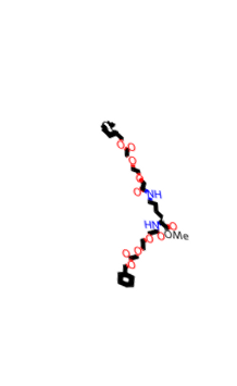 COC(=O)[C@H](CCCCNC(=O)COCCOCC(=O)OCc1ccccc1)NC(=O)COCCOCC(=O)OCc1ccccc1